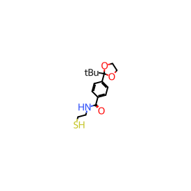 CC(C)(C)C1(c2ccc(C(=O)NCCS)cc2)OCCO1